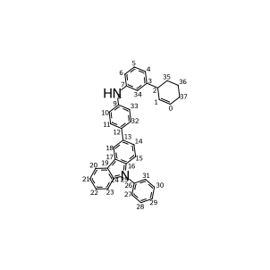 C1=CC(c2cccc(Nc3ccc(-c4ccc5c(c4)c4ccccc4n5-c4ccccc4)cc3)c2)CCC1